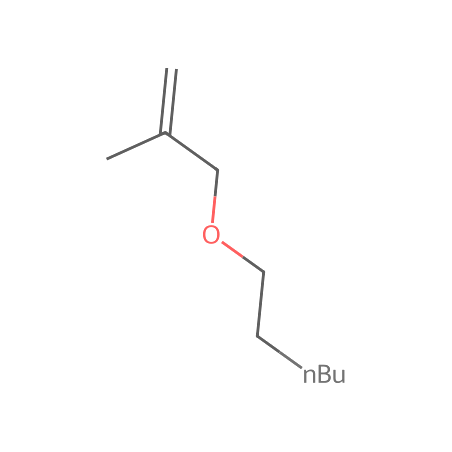 C=C(C)COCCCCCC